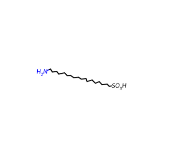 NCCCCCCCCCCCCCCCCCCS(=O)(=O)O